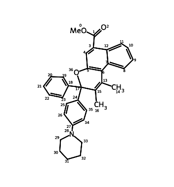 COC(=O)c1cc2c(c3ccccc13)C(C)=C(C)C(c1ccccc1)(c1ccc(N3CCCCC3)cc1)O2